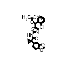 CC(C)OC(c1cnc(NC(=O)C2(c3ccc4c(c3)OCO4)CC2)s1)c1ccccc1Cl